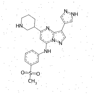 CS(=O)(=O)c1cccc(Nc2cc(C3CCCNC3)nc3c(-c4cn[nH]c4)cnn23)c1